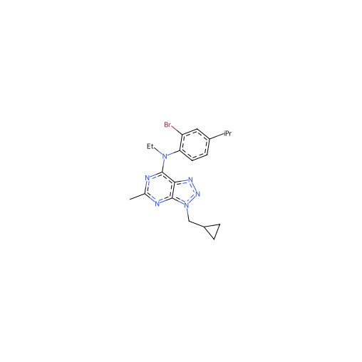 CCN(c1ccc(C(C)C)cc1Br)c1nc(C)nc2c1nnn2CC1CC1